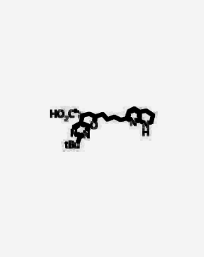 CC(C)(C)c1ncc([C@H](CC(=O)O)CC(=O)CCCCc2ccc3c(n2)NCCC3)cn1